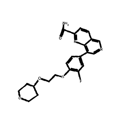 NC(=O)c1ccc2cncc(-c3ccc(OCCOC4CCOCC4)c(F)c3)c2n1